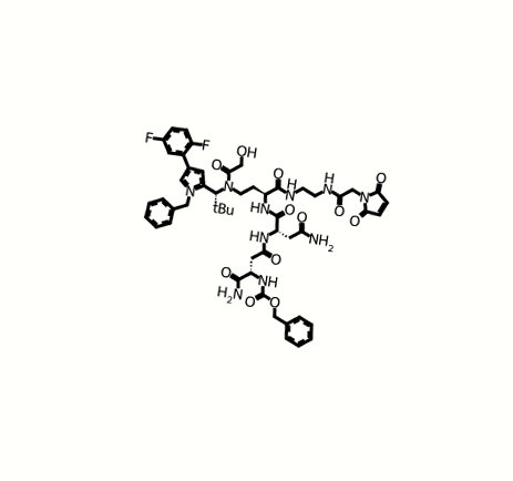 CC(C)(C)[C@H](c1cc(-c2cc(F)ccc2F)cn1Cc1ccccc1)N(CC[C@H](NC(=O)[C@H](CC(N)=O)NC(=O)C[C@H](NC(=O)OCc1ccccc1)C(N)=O)C(=O)NCCNC(=O)CN1C(=O)C=CC1=O)C(=O)CO